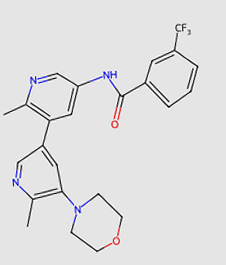 Cc1ncc(NC(=O)c2cccc(C(F)(F)F)c2)cc1-c1cnc(C)c(N2CCOCC2)c1